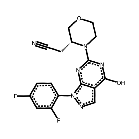 N#CC[C@@H]1COCCN1c1nc(O)c2cnn(-c3ccc(F)cc3F)c2n1